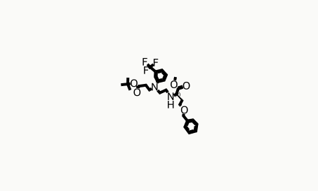 COC(=O)[C@@H](CCOCc1ccccc1)NCCN(CCC(=O)OC(C)(C)C)c1cccc(C(F)(F)F)c1